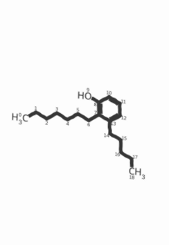 CCCCCCCc1c(O)cccc1CCCCC